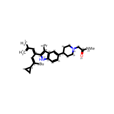 C=C(C)/C=C(\C=C(/C(C)CC)C1CC1)c1[nH]c2ccc(C3CCN(CC(=O)NC)CC3)cc2c1C(C)C